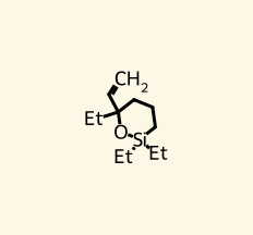 C=CC1(CC)CCC[Si](CC)(CC)O1